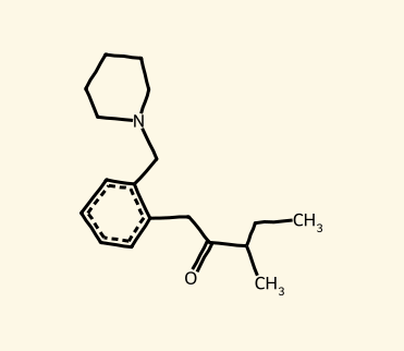 CCC(C)C(=O)Cc1ccccc1CN1CCCCC1